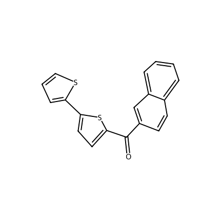 O=C(c1ccc2ccccc2c1)c1ccc(-c2cccs2)s1